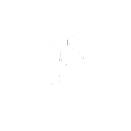 C/C=C(\C#N)C(=O)N1CC(NNC)C1